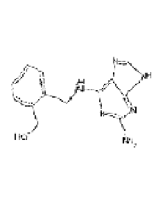 Nc1nc(NCc2ccccc2CO)c2nc[nH]c2n1